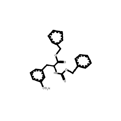 O=C(NC(Cc1cccc(C(=O)O)c1)C(=O)OCc1ccccc1)OCc1ccccc1